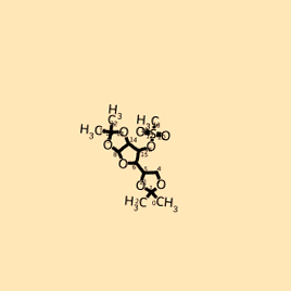 CC1(C)OCC(C2OC3OC(C)(C)OC3C2OS(C)(=O)=O)O1